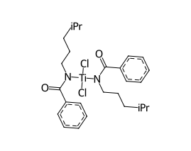 CC(C)CCC[N](C(=O)c1ccccc1)[Ti]([Cl])([Cl])[N](CCCC(C)C)C(=O)c1ccccc1